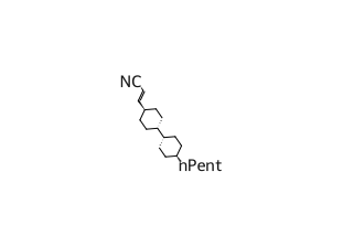 CCCCC[C@H]1CC[C@H]([C@H]2CC[C@H](C=CC#N)CC2)CC1